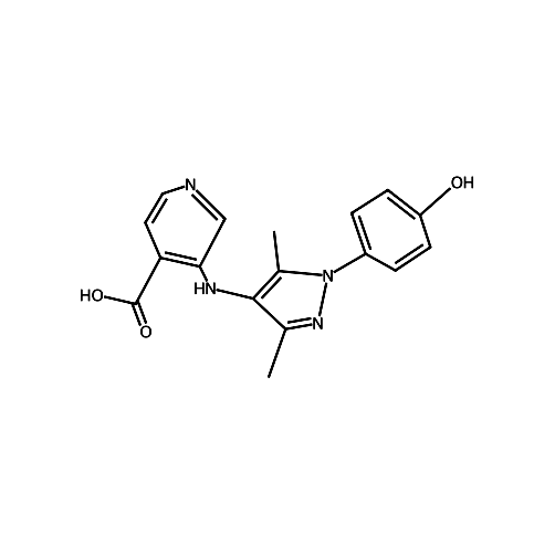 Cc1nn(-c2ccc(O)cc2)c(C)c1Nc1cnccc1C(=O)O